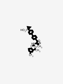 Cc1noc(-c2ccc(-c3ccc(C4(C(=O)O)CC4)cc3)cc2)c1NC(=O)OC(C)c1cccc(C(F)(F)F)c1